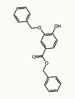 O=C(OCc1ccccc1)c1ccc(O)c(OCc2ccccc2)c1